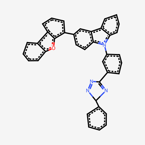 c1ccc(C2N=NC(c3cccc(-n4c5ccccc5c5cc(-c6cccc7c6oc6ccccc67)ccc54)c3)=N2)cc1